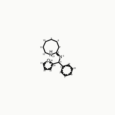 c1ccc(C(/N=C2/CCCCCCN2)c2ccco2)cc1